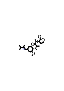 CO[C@@H]1CC(/C=C(\C)C(C)C)CC[C@@H]1SC(C)C(=O)N(C)C1CCOC1=O